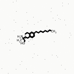 CCCCCCCCc1ccc2c(c1)CC[C@@H]([C@](C)(N)CO)C2